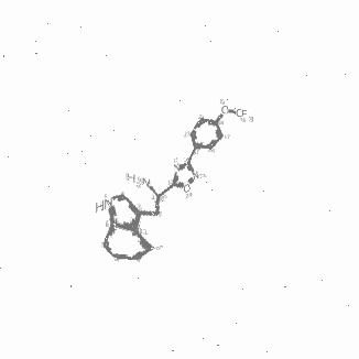 N[C@H](Cc1c[nH]c2ccccc12)c1nc(-c2ccc(OC(F)(F)F)cc2)no1